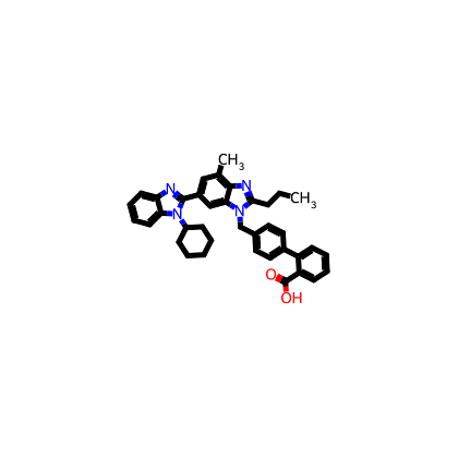 CCCc1nc2c(C)cc(-c3nc4ccccc4n3C3CCCCC3)cc2n1Cc1ccc(-c2ccccc2C(=O)O)cc1